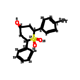 CC(C)c1ccc(C2CC(=O)CC(c3ccccc3)S2(=O)=O)cc1